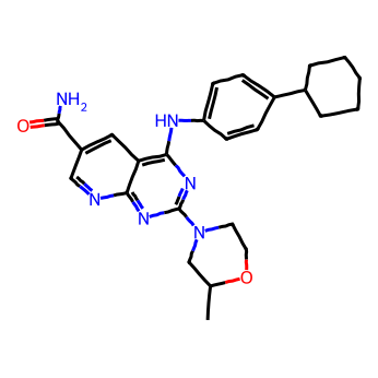 CC1CN(c2nc(Nc3ccc(C4CCCCC4)cc3)c3cc(C(N)=O)cnc3n2)CCO1